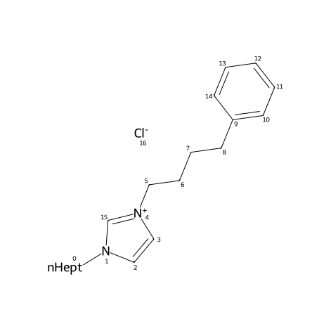 CCCCCCCn1cc[n+](CCCCc2ccccc2)c1.[Cl-]